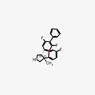 C[C@@]1(c2ccc(F)cc2)CNC[C@@H]1c1cc(F)c(-c2ccccc2)c(F)c1